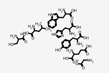 CC(C)CC(N)C(=O)O.NC(CCC(=O)O)C(=O)O.NC(CO)C(=O)O.NC(Cc1c[nH]c2ccccc12)C(=O)O.NC(Cc1c[nH]cn1)C(=O)O.NC(Cc1ccc(O)cc1)C(=O)O.NCC(=O)O